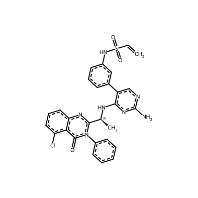 C=CS(=O)(=O)Nc1cccc(-c2cnc(N)nc2N[C@@H](C)c2nc3cccc(Cl)c3c(=O)n2-c2ccccc2)c1